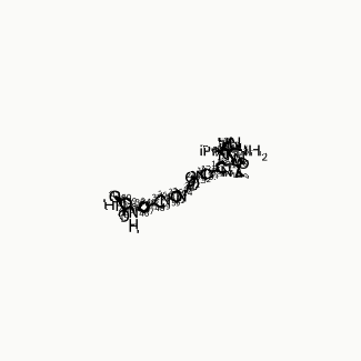 CC(C)n1nc(-c2noc(C3CC3)c2-c2ccc(C3CCN(C(=O)OCCN4CCC(N5CCC(c6ccc(NC7CCC(=O)NC7=O)cc6)CC5)CC4)CC3)cn2)c2c(N)ncnc21